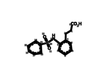 O=C(O)CCc1ccccc1NS(=O)(=O)c1ccccc1